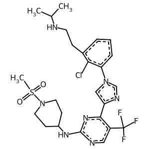 CC(C)NCCc1cccc(-n2cnc(-c3nc(NC4CCN(S(C)(=O)=O)CC4)ncc3C(F)(F)F)c2)c1Cl